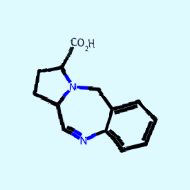 O=C(O)C1CCC2C=Nc3ccccc3CN21